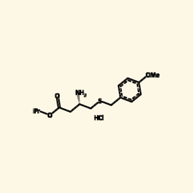 COc1ccc(CSC[C@@H](N)CC(=O)OC(C)C)cc1.Cl